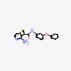 Nc1nccc2scc(C(=O)Nc3cccc(Oc4ccccc4)c3)c12